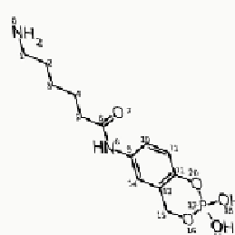 NCCCCCC(=O)Nc1ccc2c(c1)CO[P](O)(O)O2